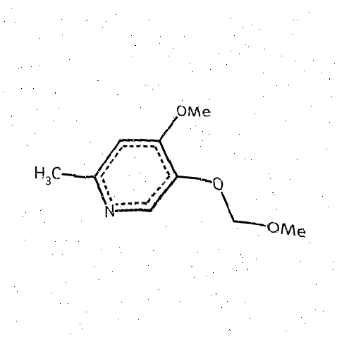 COCOc1cnc(C)cc1OC